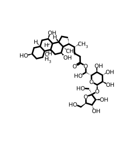 C[C@H](CCC(=O)OC(O)[C@H]1O[C@H](O[C@]2(CO)O[C@H](CO)[C@@H](O)[C@@H]2O)[C@H](O)[C@@H](O)[C@@H]1O)[C@H]1CC[C@H]2[C@@H]3[C@H](O)C[C@@H]4C[C@H](O)CC[C@]4(C)[C@H]3C[C@H](O)[C@]12C